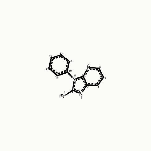 CC(C)c1nc2cccnc2n1-c1ccccc1